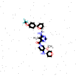 CO[C@@H]1COCC[C@@H]1NC1CCN(C(=O)c2ncnc(NC[C@H]3CCC[C@@H](C4C=CC(OC(F)(F)F)=CC4)O3)c2C)CC1